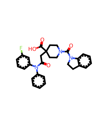 O=C(N1CCC(CC(=O)N(c2ccccc2)c2cccc(F)c2)(C(=O)O)CC1)N1CCc2ccccc21